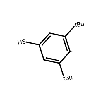 CC(C)(C)c1[c]c(C(C)(C)C)cc(S)c1